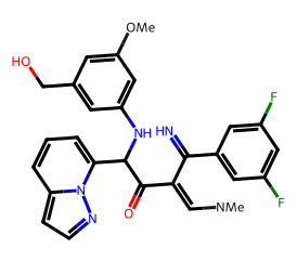 CN/C=C(\C(=N)c1cc(F)cc(F)c1)C(=O)C(Nc1cc(CO)cc(OC)c1)c1cccc2ccnn12